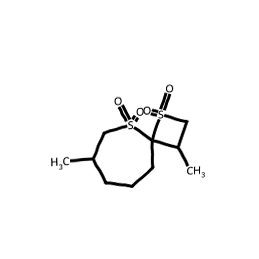 CC1CCCC2(C(C)CS2(=O)=O)S(=O)(=O)C1